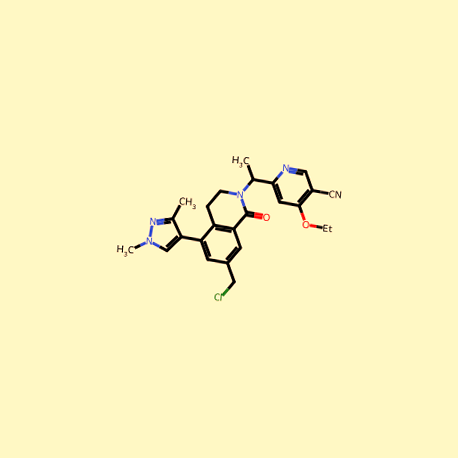 CCOc1cc(C(C)N2CCc3c(cc(CCl)cc3-c3cn(C)nc3C)C2=O)ncc1C#N